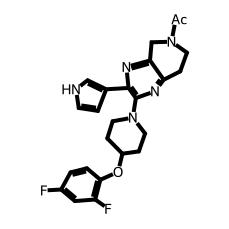 CC(=O)N1CCc2nc(N3CCC(Oc4ccc(F)cc4F)CC3)c(-c3cc[nH]c3)nc2C1